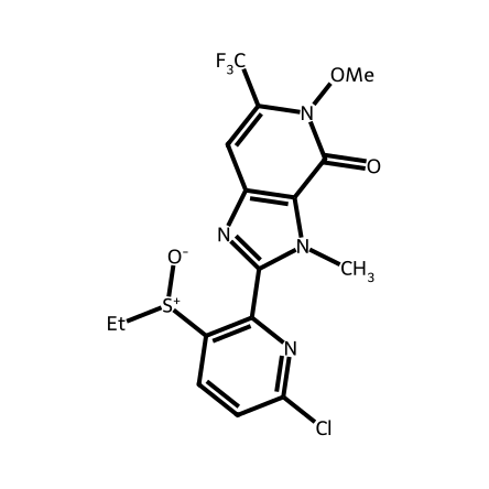 CC[S+]([O-])c1ccc(Cl)nc1-c1nc2cc(C(F)(F)F)n(OC)c(=O)c2n1C